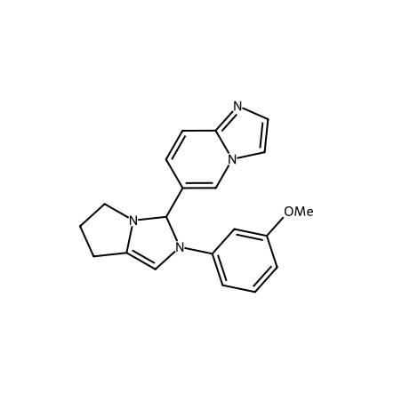 COc1cccc(N2C=C3CCCN3C2c2ccc3nccn3c2)c1